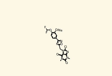 COc1cc(-c2noc(Cn3c(Cl)nc4c3c(=O)n(C)c(=O)n4C)n2)ccc1OC(F)F